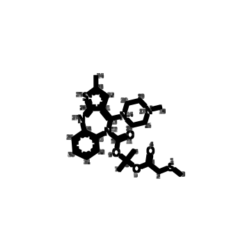 CSCC(=O)OC(C)(C)OC(=O)N1C(N2CCN(C)CC2)=c2cc(C)sc2=Nc2ccccc21